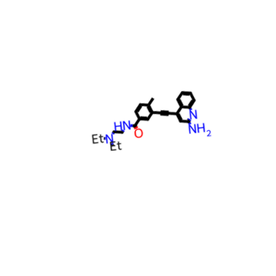 CCN(CC)CCNC(=O)c1ccc(C)c(C#Cc2cc(N)nc3ccccc23)c1